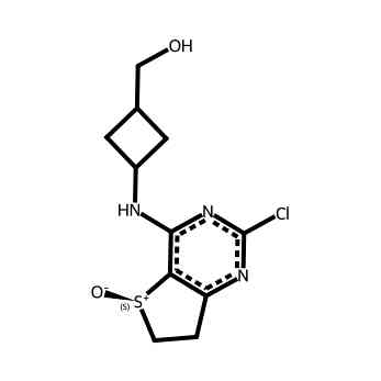 [O-][S@+]1CCc2nc(Cl)nc(NC3CC(CO)C3)c21